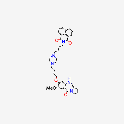 COc1cc2c(cc1OCCCCN1CCN(CCCCN3C(=O)c4cccc5cccc(c45)C3=O)CC1)NC=C1CCCN1C2=O